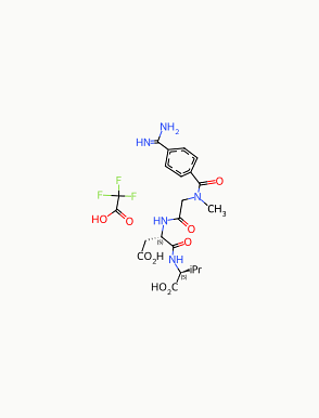 CC(C)[C@H](NC(=O)[C@H](CC(=O)O)NC(=O)CN(C)C(=O)c1ccc(C(=N)N)cc1)C(=O)O.O=C(O)C(F)(F)F